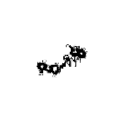 Cc1cc(NC(=O)NCCN2CCC(Cc3ccccc3C)CC2)c2ccccc2n1